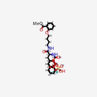 COC(=O)c1ccccc1OCCCCNC(=O)C(Cc1ccc(C(F)(F)P(=O)(O)O)cc1)NC(=O)OCc1ccccc1